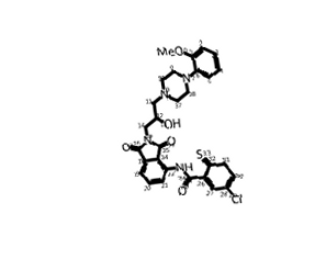 COc1ccccc1N1CCN(CC(O)CN2C(=O)c3cccc(NC(=O)C4=CC(Cl)=CCC4=S)c3C2=O)CC1